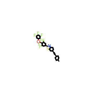 Cc1ccc(C#Cc2ccc3nc(-c4cc(F)c(C(F)(F)Oc5cc(F)c(F)c(F)c5)c(F)c4)sc3c2)cc1